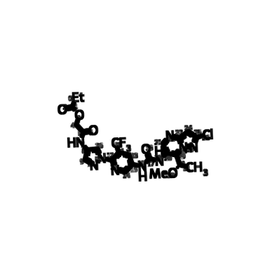 CCC(=O)OCC(=O)Nc1cnn(-c2ncc(NC(=O)Nc3cnc4cc(Cl)nn4c3[C@H](C)OC)cc2C(F)(F)F)c1